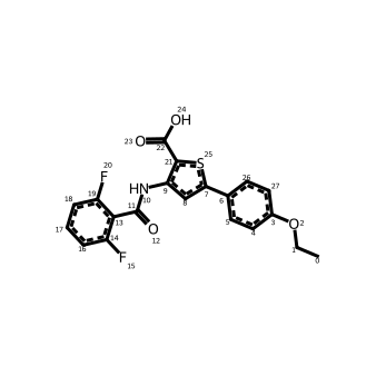 CCOc1ccc(-c2cc(NC(=O)c3c(F)cccc3F)c(C(=O)O)s2)cc1